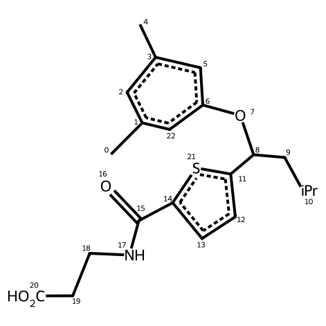 Cc1cc(C)cc(OC(CC(C)C)c2ccc(C(=O)NCCC(=O)O)s2)c1